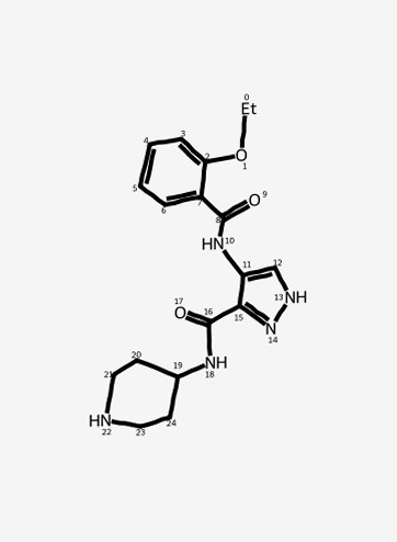 CCOc1ccccc1C(=O)Nc1c[nH]nc1C(=O)NC1CCNCC1